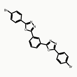 Brc1ccc(-c2nnc(-c3cccc(-c4nnc(-c5ccc(Br)cc5)o4)c3)o2)cc1